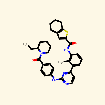 CCC1CCCCN1C(=O)c1ccc(Nc2nccc(-c3cccc(NC(=O)c4cc5c(s4)CCCC5)c3C)n2)cc1